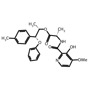 COc1ccnc(C(=O)N[C@@H](C)C(=O)O[C@@H](C)[C@H](Oc2ccccc2)c2ccc(C)cc2)c1O